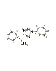 CC(c1ccccc1)c1nnn(-c2ccccc2)n1